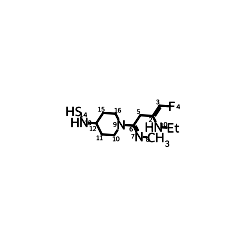 CCN/C(=C\F)C/C(=N\C)N1CCC(NS)CC1